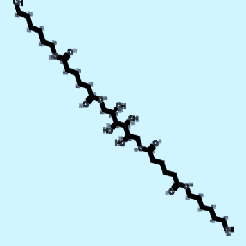 O=C(CCCCC(=O)OCC(O)C(O)C(O)[C@H](O)COC(=O)CCCCC(=O)OCCCCCCO)OCCCCCCO